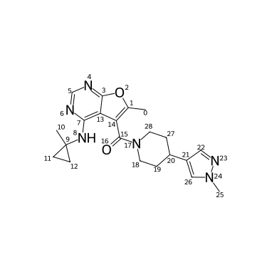 Cc1oc2ncnc(NC3(C)CC3)c2c1C(=O)N1CCC(c2cnn(C)c2)CC1